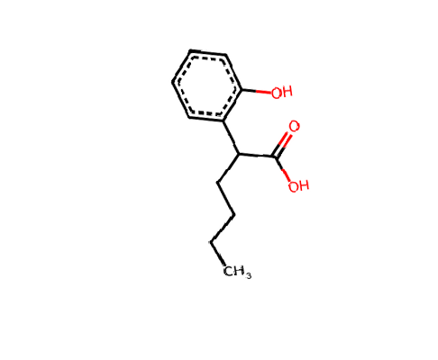 CCCCC(C(=O)O)c1ccccc1O